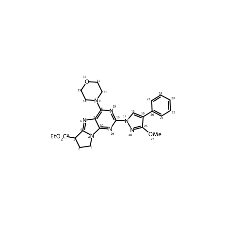 CCOC(=O)C1CCn2c1nc1c(N3CCOCC3)nc(-n3cc(-c4ccccc4)c(OC)n3)nc12